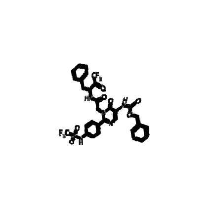 O=C(Cn1c(-c2ccc(NS(=O)(=O)C(F)(F)F)cc2)ncc(NC(=O)OCc2ccccc2)c1=O)NC(Cc1ccccc1)C(=O)C(F)(F)F